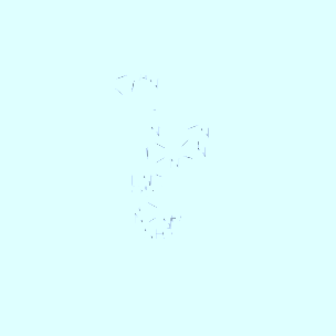 CC(C)c1ccccc1[C@H]1CCCN1C1CC2(CCN(c3ccc(C(=O)NS(=O)(=O)c4cnc(NCC5CCOCC5)c([N+](=O)[O-])c4)c(N4CCCOc5nc6[nH]ccc6cc54)c3)CC2)C1